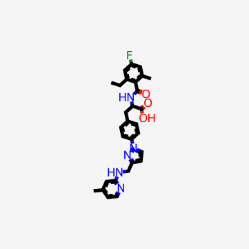 CCc1cc(F)cc(C)c1C(=O)NC(Cc1ccc(-n2ccc(CNc3cc(C)ccn3)n2)cc1)C(=O)O